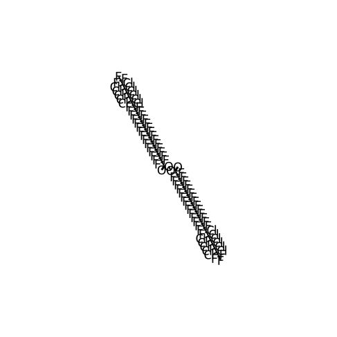 O=C(OOC(=O)C(F)(F)C(F)(F)C(F)(F)C(F)(F)C(F)(F)C(F)(F)C(F)(F)C(F)(F)C(F)(F)C(F)(F)C(F)(F)C(F)(F)C(F)(F)C(F)(F)C(F)(Cl)C(Cl)(Cl)C(Cl)(Cl)C(Cl)(Cl)C(Cl)(Cl)C(Cl)(Cl)C(F)(F)F)C(F)(F)C(F)(F)C(F)(F)C(F)(F)C(F)(F)C(F)(F)C(F)(F)C(F)(F)C(F)(F)C(F)(F)C(F)(F)C(F)(F)C(F)(F)C(F)(F)C(F)(Cl)C(Cl)(Cl)C(Cl)(Cl)C(Cl)(Cl)C(Cl)(Cl)C(Cl)(Cl)C(F)(F)F